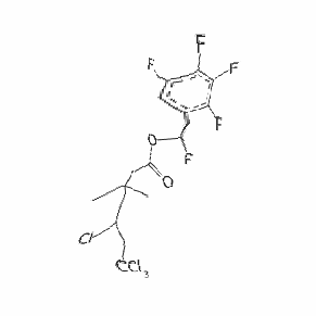 CC(C)(CC(=O)OC(F)c1cc(F)c(F)c(F)c1F)C(Cl)CC(Cl)(Cl)Cl